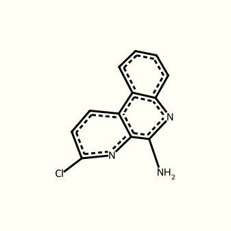 Nc1nc2ccccc2c2ccc(Cl)nc12